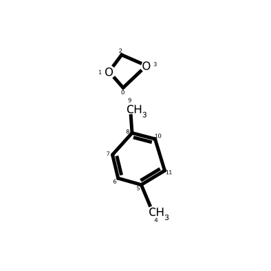 C1OCO1.Cc1ccc(C)cc1